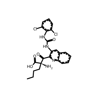 CCCC[C@](N)(C(=O)O)C(=O)c1nc2ccccc2cc1NC(=O)Nc1c(Cl)cccc1Cl